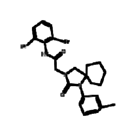 Cc1cccc(N2C(=O)N(CC(=O)Nc3c(C(C)C)cccc3C(C)C)CC23CCCCC3)c1